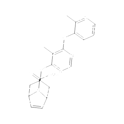 COC(=O)N1C2C=CC1CC(Oc1ncnc(Oc3cccnc3C)c1C)C2